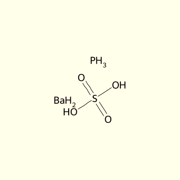 O=S(=O)(O)O.P.[BaH2]